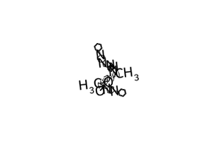 C[C@H](C(=O)N1CCN(c2ccccc2)CC1)[C@@H]1CC[C@H](C[C@@H](C)n2cc(CN3CCN(c4ccccc4)CC3)nn2)O1